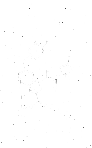 COC(=O)c1cc(NC(=O)c2cc(C)on2)c2cc(Cc3ccc(F)cc3)cnc2c1O